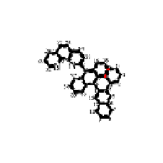 c1ccc(-c2cc3ccccc3cc2-c2c3ccccc3c(-c3ccc4ccc5cccnc5c4n3)c3ccccc23)cc1